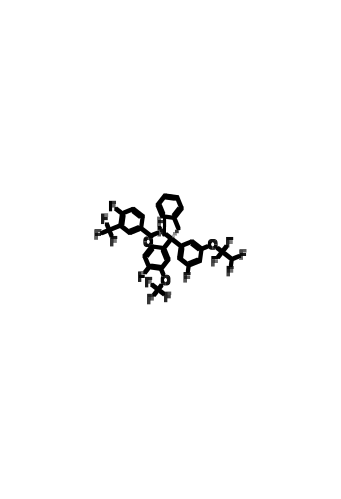 O=C(N[C@@](Cc1ccccc1)(c1cc(F)cc(OC(F)(F)C(F)F)c1)c1ccc(F)c(OC(F)(F)F)c1)c1ccc(F)c(C(F)(F)F)c1